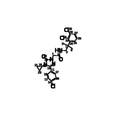 CC(C)(CNC(=O)Cn1nc(-c2ccc(Cl)cc2)n(C2CC2)c1=O)c1cccc(Cl)c1Cl